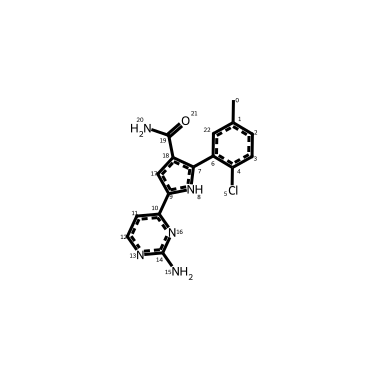 Cc1ccc(Cl)c(-c2[nH]c(-c3ccnc(N)n3)cc2C(N)=O)c1